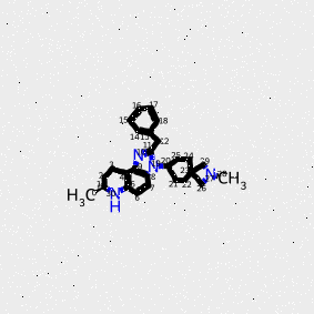 C[C@H]1CCc2c(ccc3c2nc(Cc2ccccc2)n3C2CCC3(CC2)CN(C)C3)N1